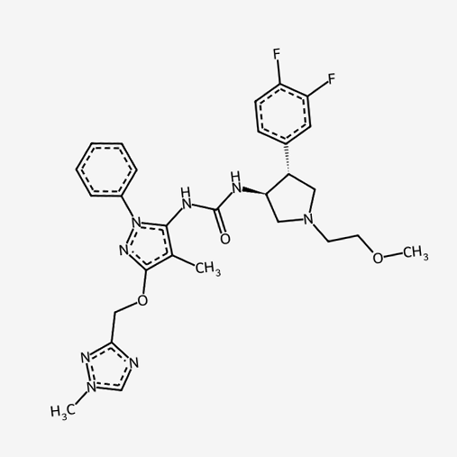 COCCN1C[C@@H](NC(=O)Nc2c(C)c(OCc3ncn(C)n3)nn2-c2ccccc2)[C@H](c2ccc(F)c(F)c2)C1